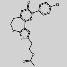 CC(=O)OCCc1cc2c(s1)SCCc1cc(=O)n(-c3ccc(Cl)cc3)nc1-2